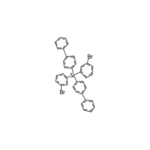 Brc1cccc([Si](c2ccc(-c3ccccc3)cc2)(c2ccc(-c3ccccc3)cc2)c2cccc(Br)c2)c1